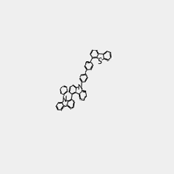 c1ccc(-n2c3ccccc3c3cccc(-c4cccc5c4c4ccccc4n5-c4ccc(-c5ccc(-c6cccc7c6sc6ccccc67)cc5)cc4)c32)cc1